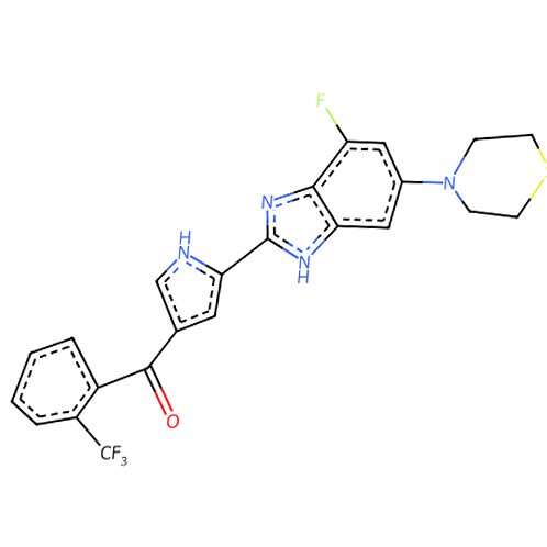 O=C(c1c[nH]c(-c2nc3c(F)cc(N4CCSCC4)cc3[nH]2)c1)c1ccccc1C(F)(F)F